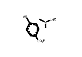 CN(C)C=O.O=C(O)c1ccc(S)cc1